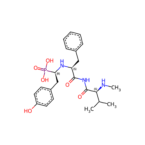 CN[C@H](C(=O)NC(=O)[C@H](Cc1ccccc1)N[C@@H](Cc1ccc(O)cc1)P(=O)(O)O)C(C)C